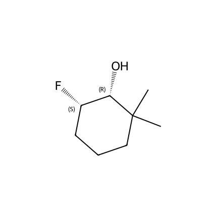 CC1(C)CCC[C@H](F)[C@@H]1O